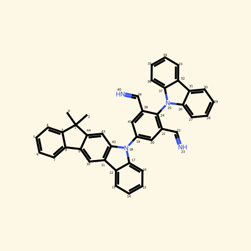 CC1(C)c2ccccc2-c2cc3c4ccccc4n(-c4cc(C=N)c(-n5c6ccccc6c6ccccc65)c(C=N)c4)c3cc21